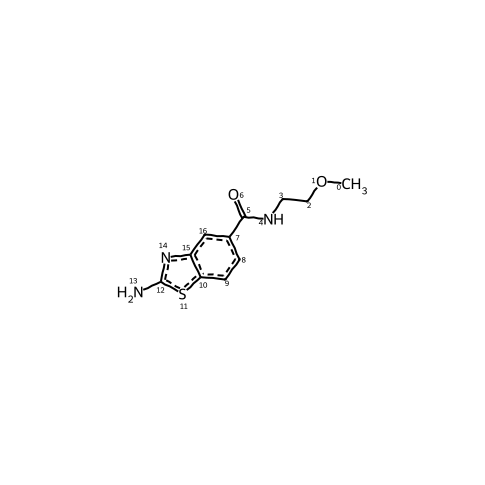 COCCNC(=O)c1ccc2sc(N)nc2c1